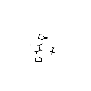 N[C@@H](C[C@@H]1CCNC1=O)C(O)C(=O)N1CCCC1.O=C(O)C(F)(F)F